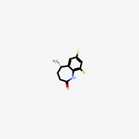 C[C@H]1CCC(=O)Nc2c(F)cc(F)cc21